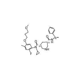 COCCCOc1cc(N(C(=O)[C@H]2CNC[C@@H](C(=O)N[C@H](C)c3ccccc3)C2)C2CC2)c(F)cc1C